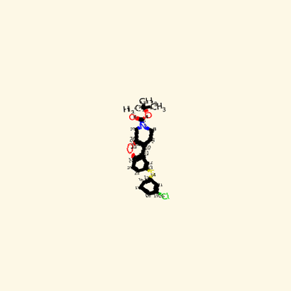 CC(C)(C)OC(=O)N1CCC2c3cc(Sc4cccc(Cl)c4)ccc3OC2C1